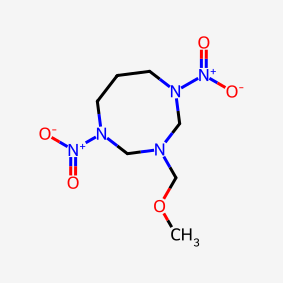 COCN1CN([N+](=O)[O-])CCCN([N+](=O)[O-])C1